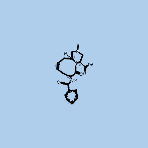 CN1C[C@@H]2C/C=C\C[C@H](NC(=O)c3ccccc3)C(=O)N2[C@H](C(=O)O)C1